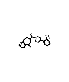 Cc1ccccc1C1CCN(C(=O)C2CCc3ncccc3C(=O)C2)CC1